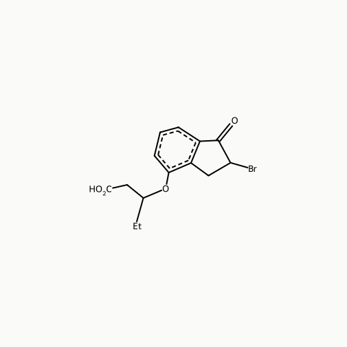 CCC(CC(=O)O)Oc1cccc2c1CC(Br)C2=O